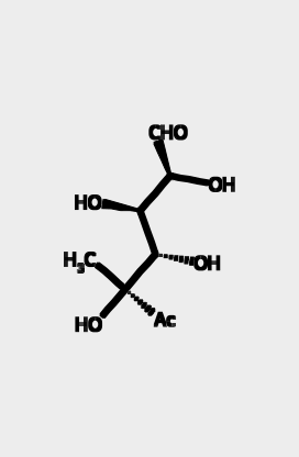 CC(=O)[C@@](C)(O)[C@@H](O)[C@@H](O)[C@H](O)C=O